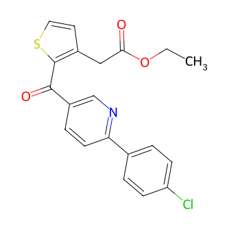 CCOC(=O)Cc1ccsc1C(=O)c1ccc(-c2ccc(Cl)cc2)nc1